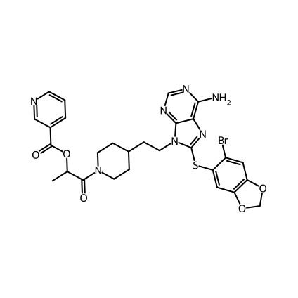 CC(OC(=O)c1cccnc1)C(=O)N1CCC(CCn2c(Sc3cc4c(cc3Br)OCO4)nc3c(N)ncnc32)CC1